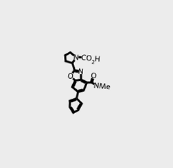 CNC(=O)c1cc(-c2ccccc2)cc2oc(C3CCCN3C(=O)O)nc12